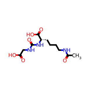 CC(=O)NCCCC[C@H](NC(=O)NCC(=O)O)C(=O)O